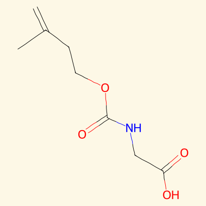 C=C(C)CCOC(=O)NCC(=O)O